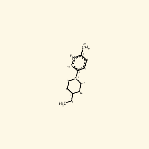 CCC1CCN(c2ccc(C)nn2)CC1